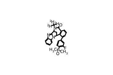 [2H]C([2H])([2H])N1C(=O)c2cccc(-c3ccc(P(C)(C)=O)c(F)c3)c2C2CC1c1nc3ccccc3n12